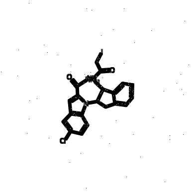 NC(=O)c1cc2cc(Cl)ccc2n1C1Cc2ccccc2C1NC(=O)CI